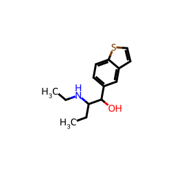 CCNC(CC)C(O)c1ccc2sccc2c1